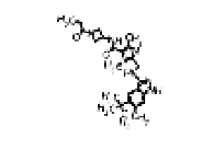 C=CC(=O)N1CC(NC(=O)c2c(C)nc(CNc3n[nH]c4cc(C)c(C(C)(C)C)cc34)n2C)C1